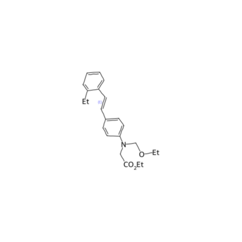 CCOCN(CC(=O)OCC)c1ccc(/C=C/c2ccccc2CC)cc1